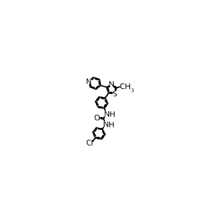 Cc1nc(-c2ccncc2)c(-c2cccc(NC(=O)Nc3ccc(Cl)cc3)c2)s1